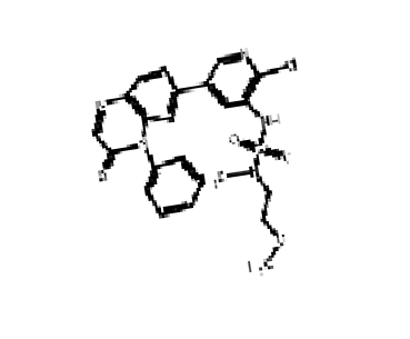 COCCN(C)S(=O)(=O)Nc1cc(-c2ccc3ncc(=O)n(-c4ccccc4)c3c2)cnc1Cl